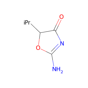 CC(C)C1OC(N)=NC1=O